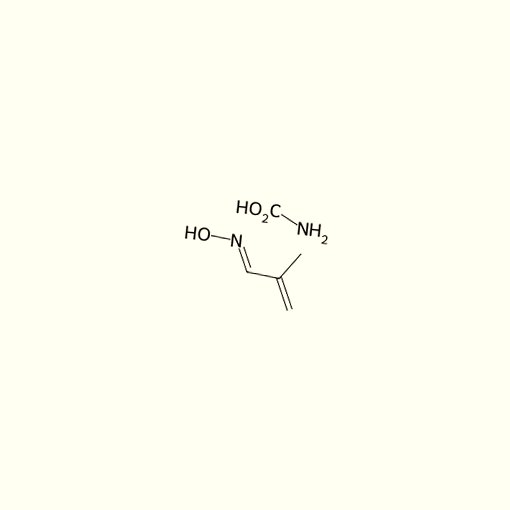 C=C(C)C=NO.NC(=O)O